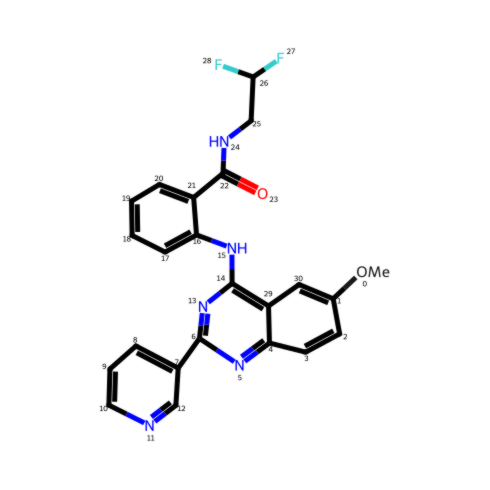 COc1ccc2nc(-c3cccnc3)nc(Nc3ccccc3C(=O)NCC(F)F)c2c1